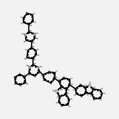 c1ccc(-c2cc(-c3ccc(-c4ccc(-c5ccc6c(c5)oc5ccccc56)c5c4oc4ccccc45)cc3)nc(-c3ccc(-c4cnc(-c5ccccc5)nc4)cc3)n2)cc1